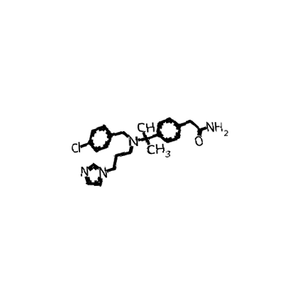 CC(C)(c1ccc(CC(N)=O)cc1)N(CCCn1ccnc1)Cc1ccc(Cl)cc1